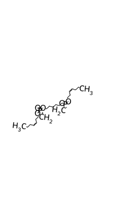 C=CP(OCC/C=C\CCC)OCCCCCOP(=O)(C=C)OCC/C=C\CCC